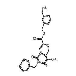 COc1cccc(COC(=O)C2=Cn3c(c(C)c(=O)n(Cc4ccccc4)c3=O)CO2)c1